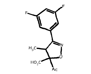 CC(=O)C1(C(=O)O)ON=C(c2cc(F)cc(F)c2)C1C